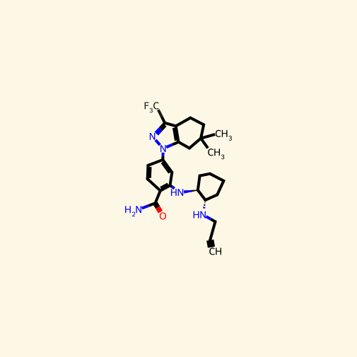 C#CCN[C@H]1CCCC[C@@H]1Nc1cc(-n2nc(C(F)(F)F)c3c2CC(C)(C)CC3)ccc1C(N)=O